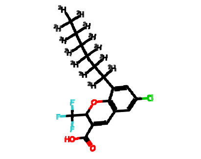 [2H]C([2H])([2H])C([2H])([2H])C([2H])([2H])C([2H])([2H])C([2H])([2H])C([2H])([2H])c1cc(Cl)cc2c1OC(C(F)(F)F)C(C(=O)O)=C2